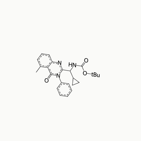 Cc1cccc2nc(C(NC(=O)OC(C)(C)C)C3CC3)n(-c3ccccc3)c(=O)c12